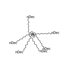 CCCCCCCCCCCCCCCCCCC(CCCCCCCCCCCCCCCCCC)OP(=O)(OC(CCCCCCCCCCCCCCCCCC)CCCCCCCCCCCCCCCCCC)OC(CCCCCCCCCCCCCCCCCC)CCCCCCCCCCCCCCCCCC